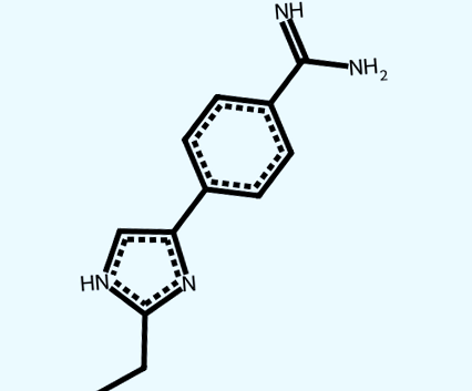 CCc1nc(-c2ccc(C(=N)N)cc2)c[nH]1